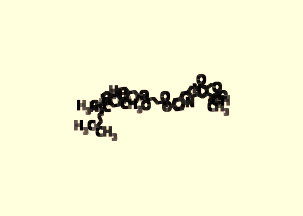 CC[C@@]1(O)C(=O)OCc2c1cc1n(c2=O)Cc2cc3cc(OC(=O)CCC(=O)O[C@H]4CC[C@@]5(C)C(=CC[C@H]6[C@@H]7CC[C@H]([C@H](C)CCCC(C)C)[C@@]7(C)CC[C@@H]65)C4)ccc3nc2-1